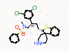 CN(C[C@H](CC[C@@H]1Sc2ccccc2C12CCNCC2)c1cc(Cl)cc(Cl)c1)S(=O)(=O)c1ccccc1